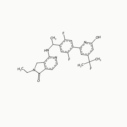 CCN1Cc2c(ccnc2NC(C)c2cc(F)c(-c3cc(C(C)(C)F)cc(O)n3)cc2F)C1=O